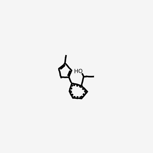 CC1=CCC(c2ccccc2C(C)O)=C1